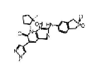 Cn1cc(-c2cc3cnc(Nc4ccc5c(c4)CS(=O)(=O)C5)nc3n([C@@H]3CCC[C@@]3(C)O)c2=O)cn1